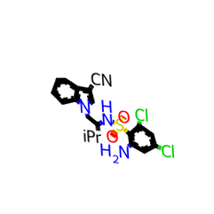 CC(C)C(Cn1cc(C#N)c2ccccc21)NS(=O)(=O)c1c(N)cc(Cl)cc1Cl